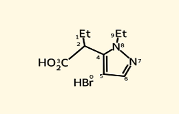 Br.CCC(C(=O)O)c1ccnn1CC